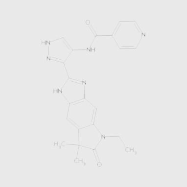 CCN1C(=O)C(C)(C)c2cc3[nH]c(-c4n[nH]cc4NC(=O)c4ccncc4)nc3cc21